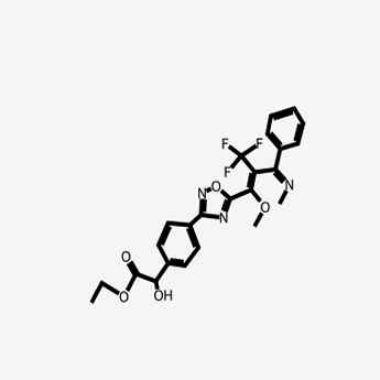 CCOC(=O)C(O)c1ccc(-c2noc(/C(OC)=C(/C(=N\C)c3ccccc3)C(F)(F)F)n2)cc1